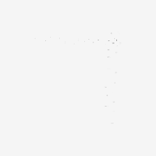 CCCCCCCCCCCCCCCCC(C)(CCCCCCCCCCCCCCCC)[N+](C)(C)C